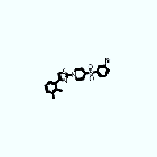 Cc1cccc(-c2csc(N3CCC(S(=O)(=O)c4cccc(Br)c4)CC3)n2)c1C